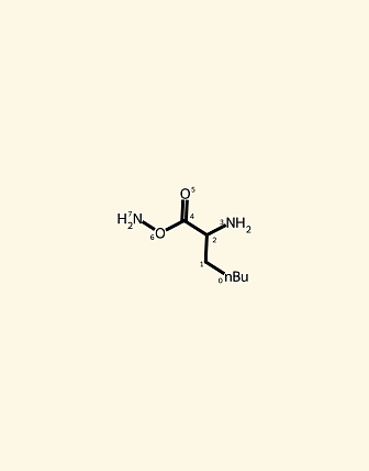 CCCCCC(N)C(=O)ON